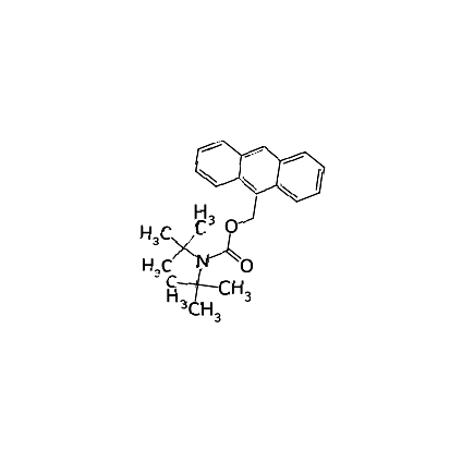 CC(C)(C)N(C(=O)OCc1c2ccccc2cc2ccccc12)C(C)(C)C